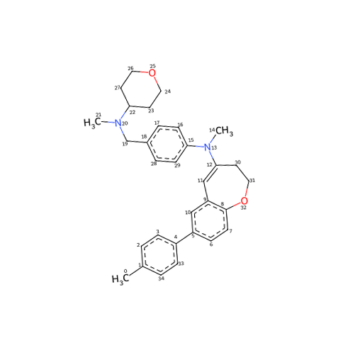 Cc1ccc(-c2ccc3c(c2)C=C(N(C)c2ccc(CN(C)C4CCOCC4)cc2)CCO3)cc1